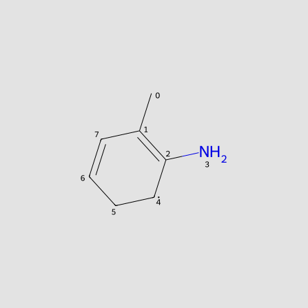 CC1=C(N)[CH]CC=C1